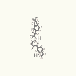 Cc1ccc(NC(=O)C(C)(C)c2ccc3c(c2)OC(F)(F)O3)nc1-c1ccc2cc[nH]c2c1